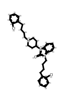 O=c1n(CCCCc2ccccc2Cl)c2ccccc2n1C1CCN(CCCCc2ccccc2Cl)CC1